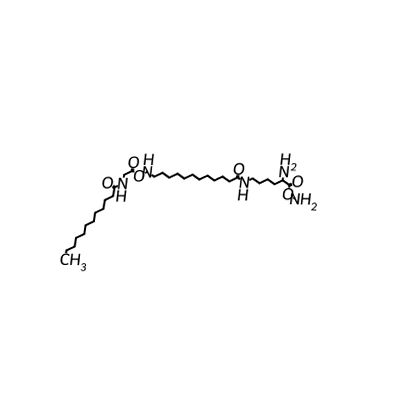 CCCCCCCCCCCC(=O)NCC(=O)ONCCCCCCCCCCCC(=O)NCCCCC(N)C(=O)ON